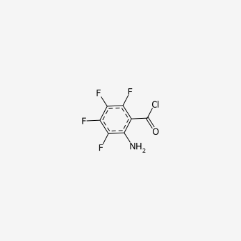 Nc1c(F)c(F)c(F)c(F)c1C(=O)Cl